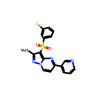 CSc1nn2ccc(-c3cccnc3)nc2c1S(=O)(=O)c1cccc(F)c1